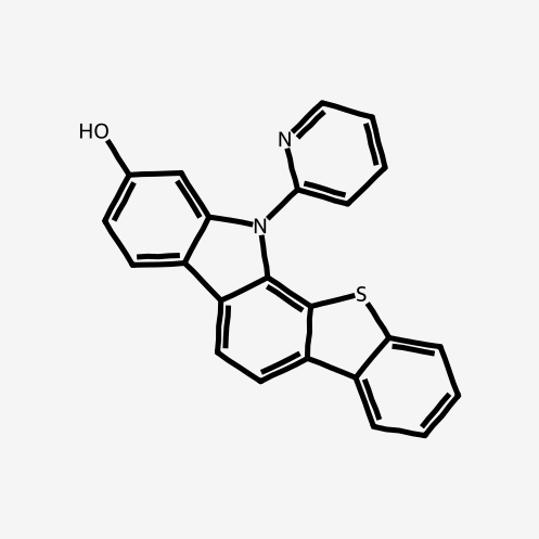 Oc1ccc2c3ccc4c5ccccc5sc4c3n(-c3ccccn3)c2c1